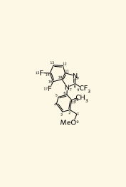 COCc1cccc(-n2c(C(F)(F)F)nc3ccc(F)c(F)c32)c1C